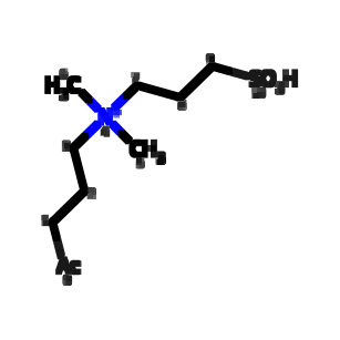 CC(=O)CCC[N+](C)(C)CCCS(=O)(=O)O